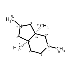 CN1CC[C@@]2(C)CN(C)C[C@@]2(C)C1